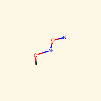 CO[N]O[N]